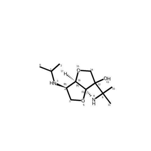 CC(C)N[C@@H]1CO[C@]23NC(C)(C)C2(O)CO[C@H]13